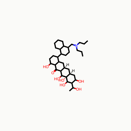 CCCN(CCC)CC1CCC(C2CCC(O)C3C(=O)C4C(O)[C@]5(O)C(O)C(C(C)O)C(O)C[C@@H]5C[C@@H]4CC23)C2CCCCC12